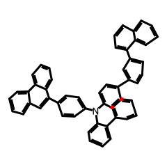 c1ccc(-c2ccccc2N(c2ccc(-c3cccc(-c4cccc5ccccc45)c3)cc2)c2ccc(-c3cc4ccccc4c4ccccc34)cc2)cc1